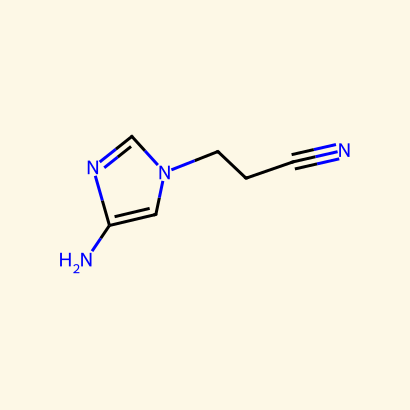 N#CCCn1cnc(N)c1